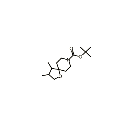 CC1COC2(CCN(C(=O)OC(C)(C)C)CC2)C1C